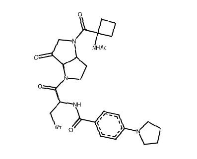 CC(=O)NC1(C(=O)N2CC(=O)C3C2CCN3C(=O)C(CC(C)C)NC(=O)c2ccc(N3CCCC3)cc2)CCC1